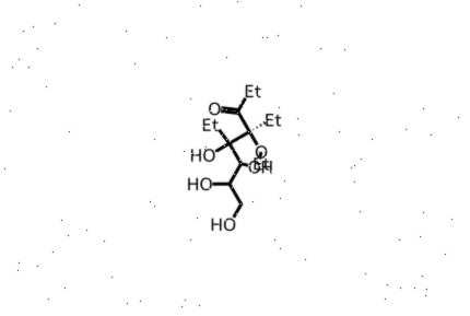 CCO[C@](CC)(C(=O)CC)C(O)(CC)C(O)C(O)CO